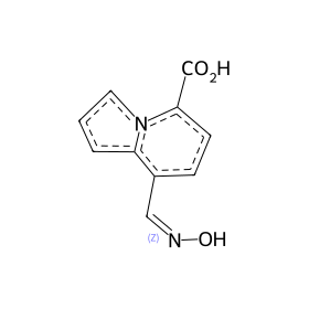 O=C(O)c1ccc(/C=N\O)c2cccn12